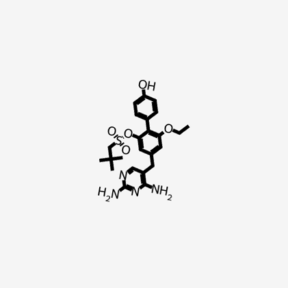 CCOc1cc(Cc2cnc(N)nc2N)cc(OS(=O)(=O)CC(C)(C)C)c1-c1ccc(O)cc1